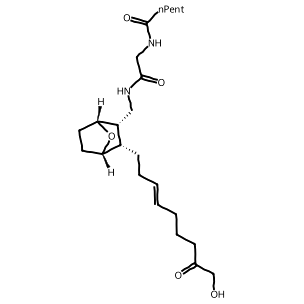 CCCCCC(=O)NCC(=O)NC[C@@H]1[C@H](CCC=CCCCC(=O)CO)[C@@H]2CC[C@H]1O2